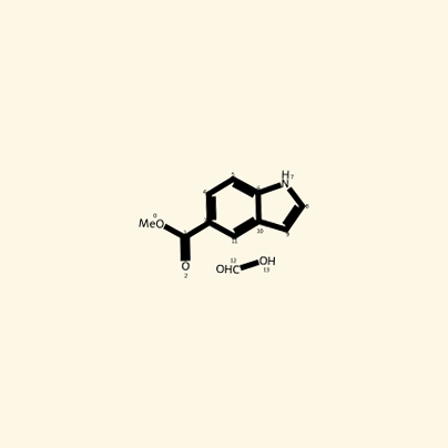 COC(=O)c1ccc2[nH]ccc2c1.O=CO